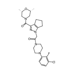 C[C@@H]1CN(C(=O)c2nn(CC(=O)N3CCN(c4cccc(Cl)c4F)CC3)c3c2CCC3)C[C@H](C)O1